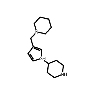 C1=C[SH](C2CCNCC2)C=C1CN1CCCCC1